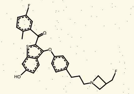 Cc1ccc(F)cc1C(=O)c1sc2cc(O)ccc2c1Oc1ccc(CCCN2CC(CF)C2)cc1